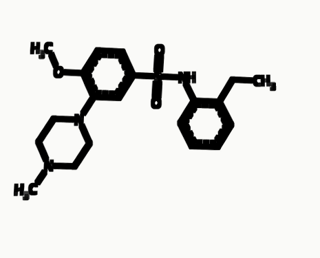 CCc1ccccc1NS(=O)(=O)c1ccc(OC)c(N2CCN(C)CC2)c1